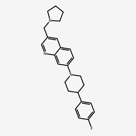 Fc1ccc(C2CCN(c3ccc4cc(CN5CCCC5)cnc4c3)CC2)cc1